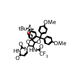 COc1ccc(C(OC2C(NC(=O)C(F)(F)F)[C@@H](n3ccc(=O)[nH]c3=O)O[C@H]2CO[Si](C)(C)C(C)(C)C)(c2ccccc2)c2ccc(OC)cc2)cc1